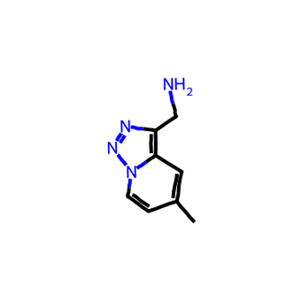 Cc1ccn2nnc(CN)c2c1